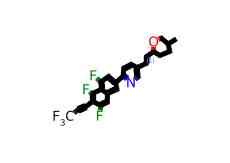 CC1CCC(/C=C/c2ccc(-c3cc(F)c4c(F)c(C#CC(F)(F)F)c(F)cc4c3)nc2)OC1